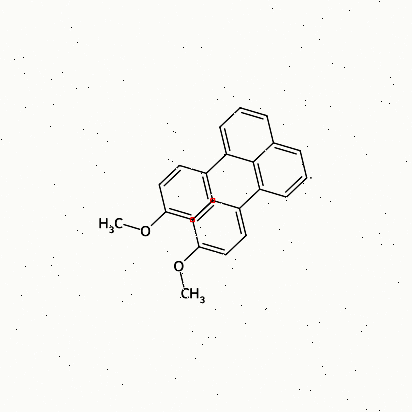 COc1ccc(-c2c[c]cc3cccc(-c4ccc(OC)cc4)c23)cc1